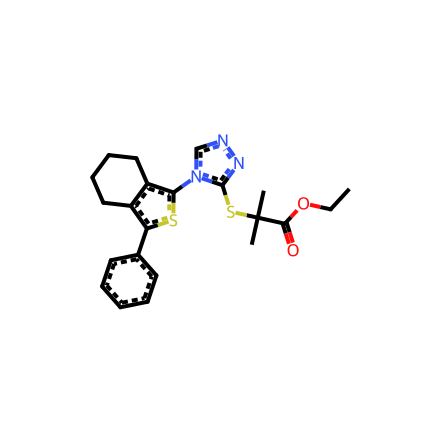 CCOC(=O)C(C)(C)Sc1nncn1-c1sc(-c2ccccc2)c2c1CCCC2